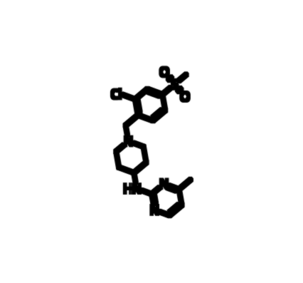 Cc1ccnc(NC2CCN(Cc3ccc(S(C)(=O)=O)cc3Cl)CC2)n1